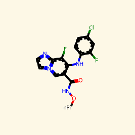 CCCONC(=O)c1cn2ccnc2c(F)c1Nc1ccc(Cl)cc1F